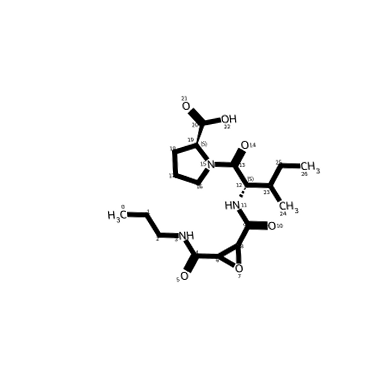 CCCNC(=O)C1OC1C(=O)N[C@H](C(=O)N1CCC[C@H]1C(=O)O)C(C)CC